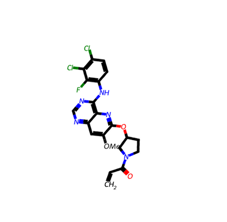 C=CC(=O)N1CCC(Oc2nc3c(Nc4ccc(Cl)c(Cl)c4F)ncnc3cc2OC)C1